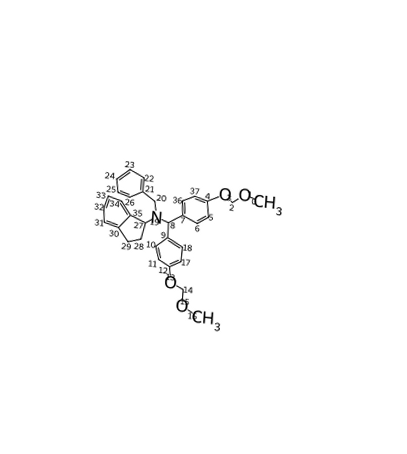 COCOc1ccc(C(c2ccc(OCOC)cc2)N(Cc2ccccc2)C2CCc3ccccc32)cc1